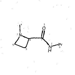 CC(C)NC(=O)C1CCN1C